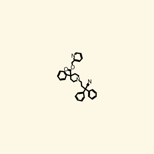 N#CC(CCN1CCC(C(=O)OCc2ccccn2)(c2ccccc2)CC1)(c1ccccc1)c1ccccc1